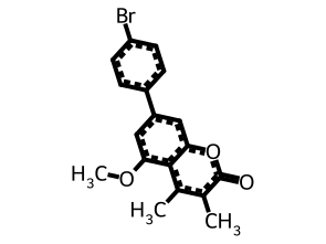 COc1cc(-c2ccc(Br)cc2)cc2oc(=O)c(C)c(C)c12